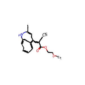 CCOCCOC(=O)/C(C#N)=C1/C=C(C)Nc2ccccc21